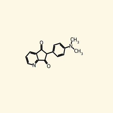 CN(C)c1ccc(C2C(=O)c3cccnc3C2=O)cc1